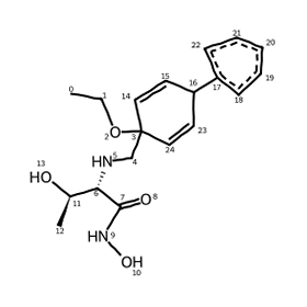 CCOC1(CN[C@H](C(=O)NO)[C@@H](C)O)C=CC(c2ccccc2)C=C1